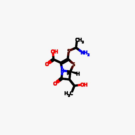 CC(N)SC1=C(C(=O)O)N2C(=O)C(C(C)O)[C@H]2S1